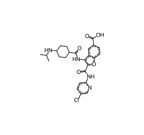 CC(C)NC1CCC(C(=O)Nc2c(C(=O)Nc3ccc(Cl)cn3)oc3ccc(C(=O)O)cc23)CC1